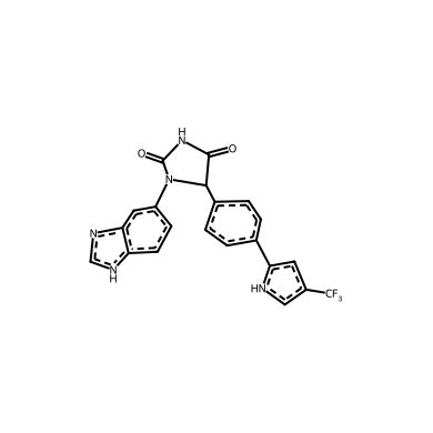 O=C1NC(=O)N(c2ccc3[nH]cnc3c2)C1c1ccc(-c2cc(C(F)(F)F)c[nH]2)cc1